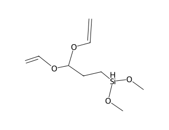 C=COC(CC[SiH](OC)OC)OC=C